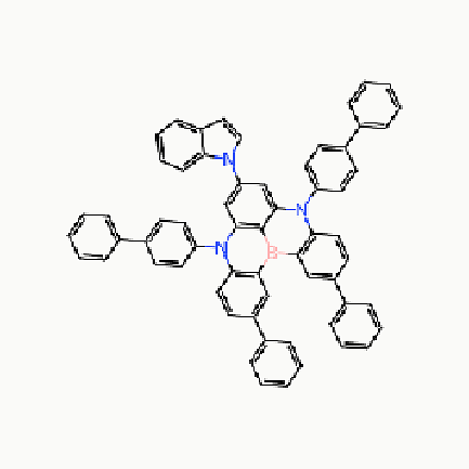 c1ccc(-c2ccc(N3c4ccc(-c5ccccc5)cc4B4c5cc(-c6ccccc6)ccc5N(c5ccc(-c6ccccc6)cc5)c5cc(-n6ccc7ccccc76)cc3c54)cc2)cc1